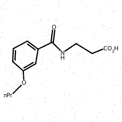 CCCOc1cccc(C(=O)NCCC(=O)O)c1